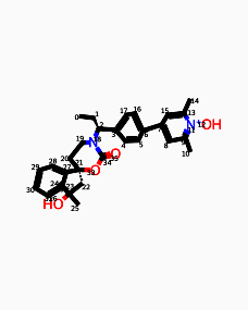 CC[C@@H](c1ccc(-c2cc(C)[n+](O)c(C)c2)cc1)N1CC[C@](CC(C)(C)O)(c2ccccc2)OC1=O